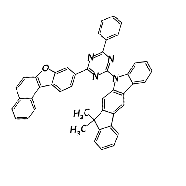 CC1(C)c2ccccc2-c2cc3c4ccccc4n(-c4nc(-c5ccccc5)nc(-c5ccc6c(c5)oc5ccc7ccccc7c56)n4)c3cc21